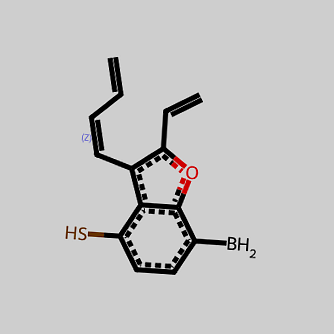 Bc1ccc(S)c2c(/C=C\C=C)c(C=C)oc12